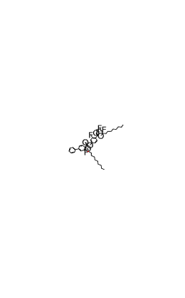 CCCCCCCCCCOC1(C(=O)Oc2ccc(C(=O)OC(CCCCCCCC)C(F)(F)F)c(F)c2)C=CC(c2ccccc2)=CC1F